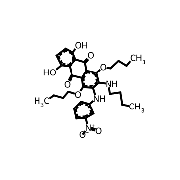 CCCCNc1c(Nc2cccc([N+](=O)[O-])c2)c(OCCCC)c2c(c1OCCCC)C(=O)c1c(O)ccc(O)c1C2=O